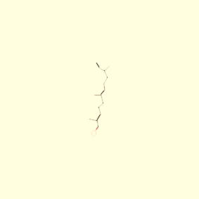 C=CC(C)CC/C=C(\C)CC/C=C(\C)C=O